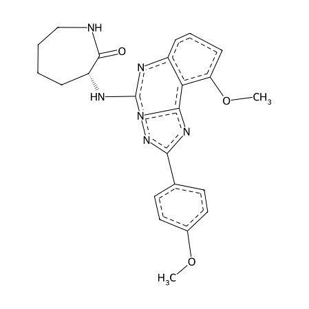 COc1ccc(-c2nc3c4c(OC)cccc4nc(N[C@@H]4CCCCNC4=O)n3n2)cc1